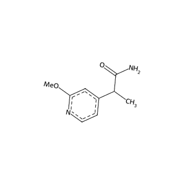 COc1cc(C(C)C(N)=O)ccn1